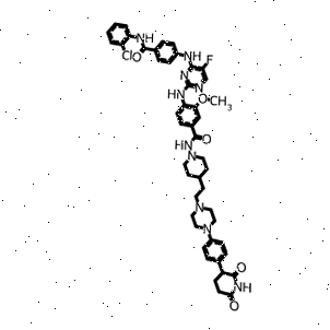 COc1cc(C(=O)NN2CCC(CCN3CCN(c4ccc(C5CCC(=O)NC5=O)cc4)CC3)CC2)ccc1Nc1ncc(F)c(Nc2ccc(C(=O)Nc3ccccc3Cl)cc2)n1